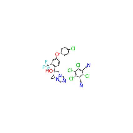 N#Cc1c(Cl)c(Cl)c(Cl)c(C#N)c1Cl.OC(Cn1cncn1)(c1ccc(Oc2ccc(Cl)cc2)cc1C(F)(F)F)C1CC1